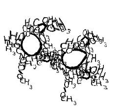 CC[C@H]1OC(=O)[C@H](C)[C@@H](O[C@H]2C[C@@](C)(OC)[C@@H](O)[C@H](C)O2)[C@H](C)[C@@H](O[C@@H]2O[C@H](C)C[C@H](N(C)C)[C@H]2O)[C@](C)(O)C[C@@H](C)/C(=N\OCOCCOC)[C@H](C)[C@@H](O)[C@]1(C)O.CC[C@H]1OC(=O)[C@H](C)[C@@H](O[C@H]2C[C@@](C)(OC)[C@@H](O)[C@H](C)O2)[C@H](C)[C@@H](O[C@@H]2O[C@H](C)C[C@H](N(C)C)[C@H]2O)[C@](C)(O)C[C@@H](C)/C(=N\OCOCCOC)[C@H](C)[C@@H](O)[C@]1(C)O